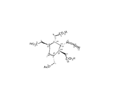 CC(=O)OC[C@@H]1O[C@@H](CC(=O)O)[C@H](CC(=O)O)[C@H](N=[N+]=[N-])[C@H]1CC(=O)O